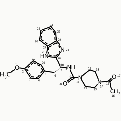 COc1ccc(C[C@@H](NC(=O)N2CCN(C(C)=O)CC2)c2nc3ccccc3[nH]2)cc1